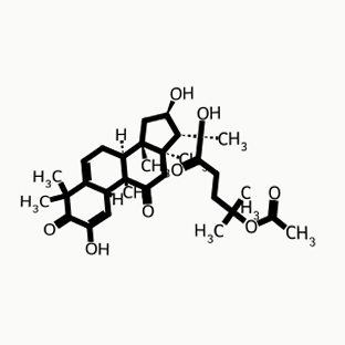 CC(=O)OC(C)(C)CCC(=O)[C@](C)(O)[C@H]1[C@H](O)C[C@@]2(C)[C@@H]3CC=C4[C@@H](C=C(O)C(=O)C4(C)C)[C@]3(C)C(=O)C[C@]12C